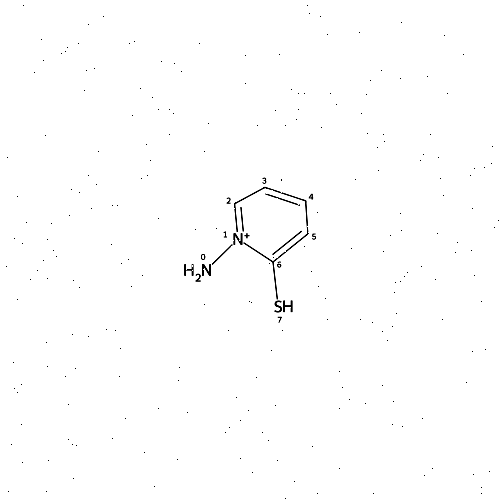 N[n+]1ccccc1S